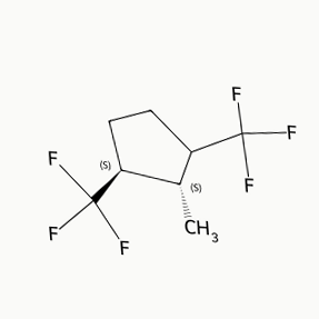 C[C@H]1C(C(F)(F)F)CC[C@@H]1C(F)(F)F